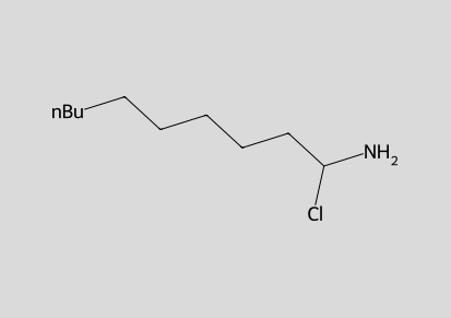 CCCCCCCCCC(N)Cl